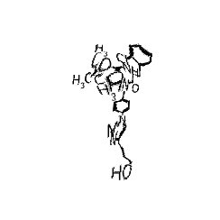 CC(C)(C)OC(=O)N[C@@H](Cc1ccccc1Cl)C(=O)Nc1ccc(-n2cc(CCCO)nn2)cc1